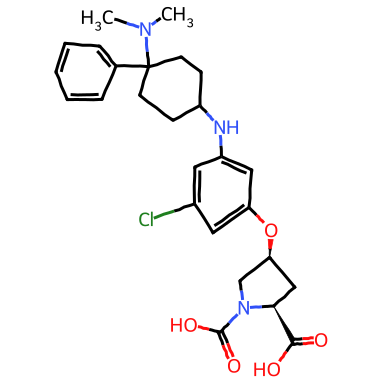 CN(C)C1(c2ccccc2)CCC(Nc2cc(Cl)cc(O[C@H]3C[C@@H](C(=O)O)N(C(=O)O)C3)c2)CC1